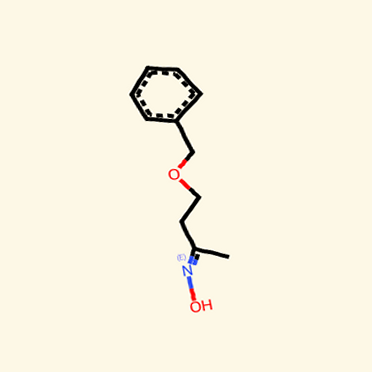 C/C(CCOCc1ccccc1)=N\O